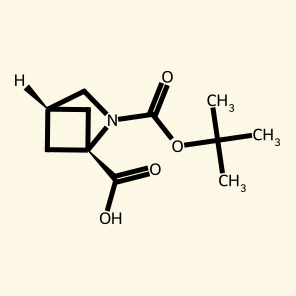 CC(C)(C)OC(=O)N1C[C@H]2C[C@]1(C(=O)O)C2